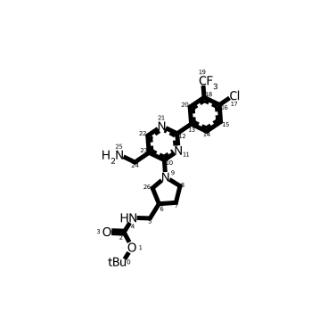 CC(C)(C)OC(=O)NCC1CCN(c2nc(-c3ccc(Cl)c(C(F)(F)F)c3)ncc2CN)C1